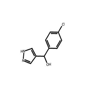 OC(c1ccc(Cl)cc1)c1cn[nH]c1